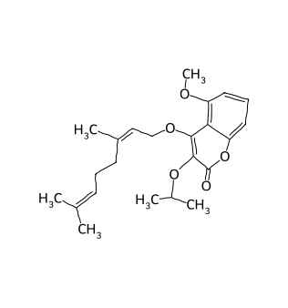 COc1cccc2oc(=O)c(OC(C)C)c(OCC=C(C)CCC=C(C)C)c12